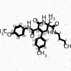 CCCCNC(=O)C1(C)CC(c2ccc(C)cc2)=C(C(=O)Nc2ccc(OC)cc2)C(=O)N1